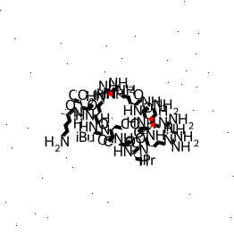 CC[C@H](C)[C@H](NC(=O)[C@H](CCCNC(=N)N)NC(=O)[C@H](CCC(=O)O)NC(=O)[C@@H](C)CCCCN)C(=O)N[C@@H](CCC(=O)O)C(=O)NCC(=O)N[C@@H](CC(C)C)C(=O)N[C@@H](CCCNC(=N)N)C(=O)N[C@@H](CCCCN)C(=O)N[C@@H](CCCNC(=N)N)C(=O)N[C@@H](CCCNC(=N)N)C(N)=O